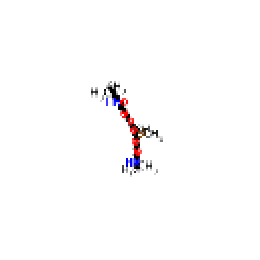 CSS[C@](C)(CCOCCOCCNC(C)C)OCCOCCOCCC(=O)NC/C=C/C(C)C